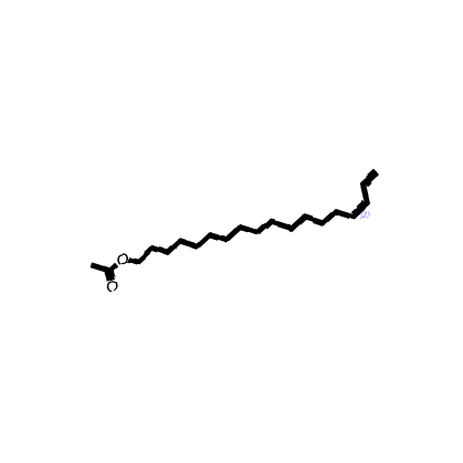 C=C/C=C\CCCCCCCCCCCCCCOC(C)=O